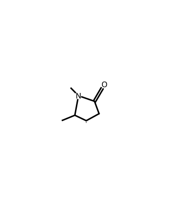 CC1[CH]CC(=O)N1C